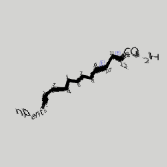 CCCCCC#CCCCCCC/C=C/C=C/C(=O)O